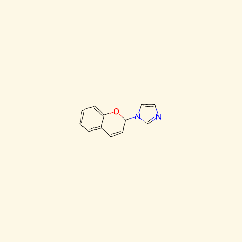 C1=CC(n2ccnc2)Oc2ccccc21